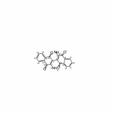 NC1=C(C2=C(N)C(=O)c3ccccc3C2=O)C(=O)c2ccccc2C1=O